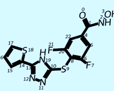 O=C(NO)c1cc(F)c(Sc2nnc(-c3cccs3)[nH]2)c(F)c1